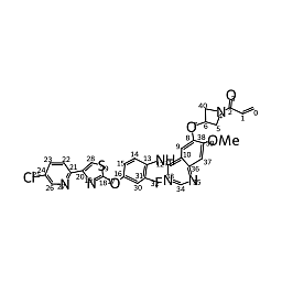 C=CC(=O)N1CC(Oc2cc3c(Nc4ccc(Oc5nc(-c6ccc(Cl)cn6)cs5)cc4F)ncnc3cc2OC)C1